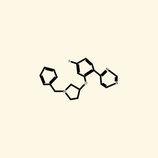 Fc1ccc(-c2ccncn2)c(OC2CCN(Cc3ccccc3)C2)c1